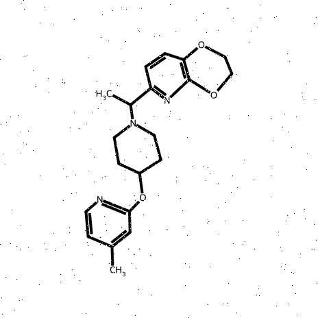 Cc1ccnc(OC2CCN(C(C)c3ccc4c(n3)OCCO4)CC2)c1